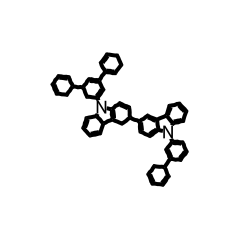 C1=CCC(c2cccc(-n3c4ccccc4c4cc(C5C=CC6=C(C5)C5C=CC=CC5N6C5=CC(C6=CCCC=C6)=CC(C6C=CC=CC6)C5)ccc43)c2)C=C1